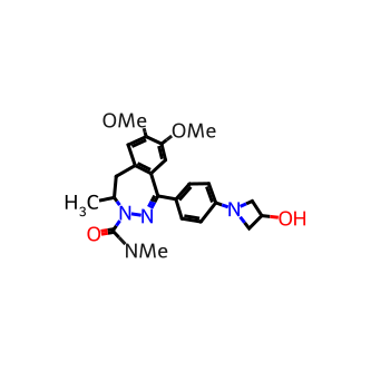 CNC(=O)N1N=C(c2ccc(N3CC(O)C3)cc2)c2cc(OC)c(OC)cc2CC1C